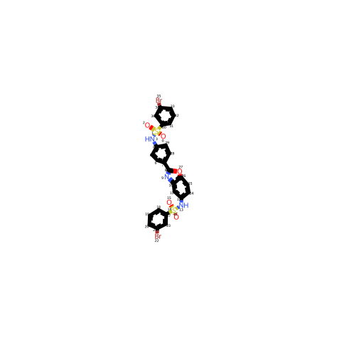 O=S(=O)(Nc1ccc(-c2nc3cc(NS(=O)(=O)c4cccc(Br)c4)ccc3o2)cc1)c1cccc(Br)c1